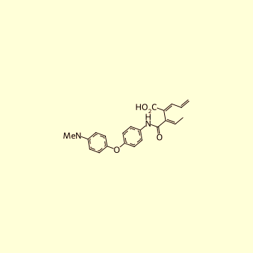 C=C/C=C(C(=O)O)\C(=C/C)C(=O)Nc1ccc(Oc2ccc(NC)cc2)cc1